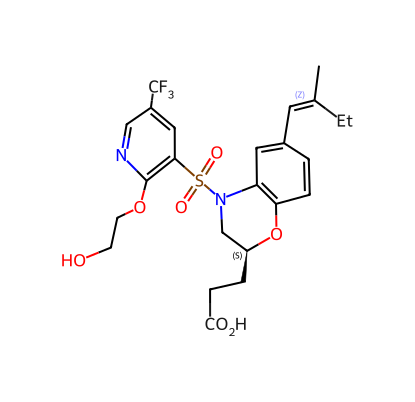 CC/C(C)=C\c1ccc2c(c1)N(S(=O)(=O)c1cc(C(F)(F)F)cnc1OCCO)C[C@H](CCC(=O)O)O2